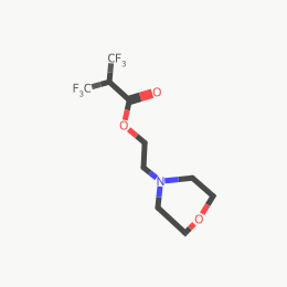 O=C(OCCN1CCOCC1)C(C(F)(F)F)C(F)(F)F